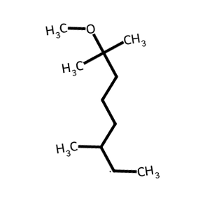 C[CH]C(C)CCCC(C)(C)OC